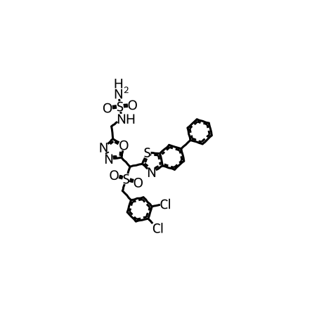 NS(=O)(=O)NCc1nnc(C(c2nc3ccc(-c4ccccc4)cc3s2)S(=O)(=O)Cc2ccc(Cl)c(Cl)c2)o1